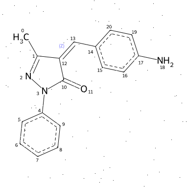 CC1=NN(c2ccccc2)C(=O)/C1=C\c1ccc(N)cc1